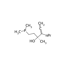 C=C=C(CCC)[C@@](C)(O)CCP(C)C